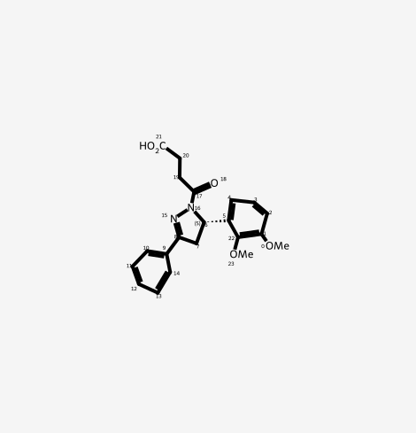 COc1cccc([C@@H]2CC(c3ccccc3)=NN2C(=O)CCC(=O)O)c1OC